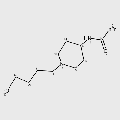 CCCC(=O)NC1CCN(CCCC[O])CC1